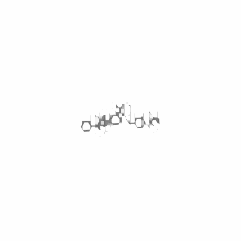 O=C(NS(=O)(=O)c1ccc(NCC2CCN(c3nccs3)CC2)c([N+](=O)[O-])c1)c1ccccc1